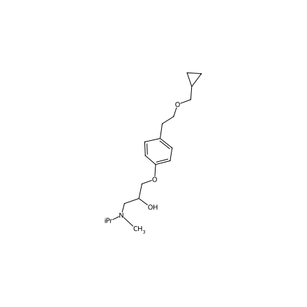 CC(C)N(C)CC(O)COc1ccc(CCOCC2CC2)cc1